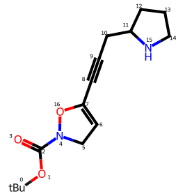 CC(C)(C)OC(=O)N1CC=C(C#CCC2CCCN2)O1